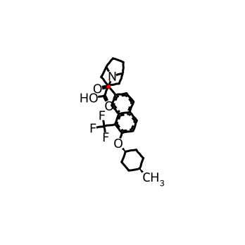 C[C@H]1CC[C@@H](Oc2ccc3ccc(C(=O)N4C5CCC4CC(C(=O)O)C5)cc3c2C(F)(F)F)CC1